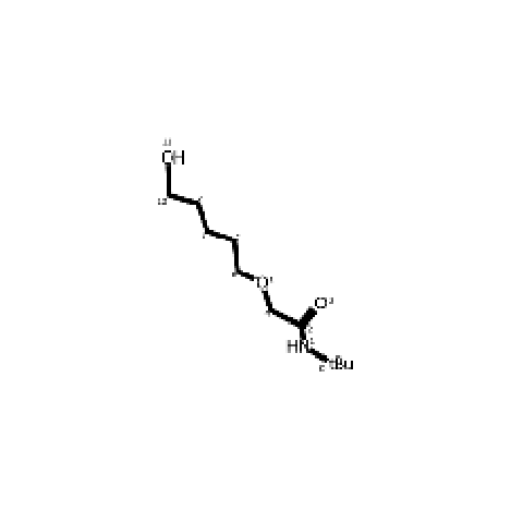 CC(C)(C)NC(=O)COCCCCCO